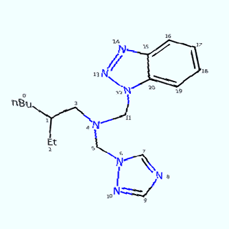 CCCCC(CC)CN(Cn1cncn1)Cn1nnc2ccccc21